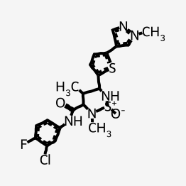 CC1C(c2ccc(-c3cnn(C)c3)s2)N[S+]([O-])N(C)C1C(=O)Nc1ccc(F)c(Cl)c1